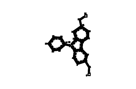 ClCc1ccc2c(c1)c1ccc(CCl)cc1n2-c1ccccc1